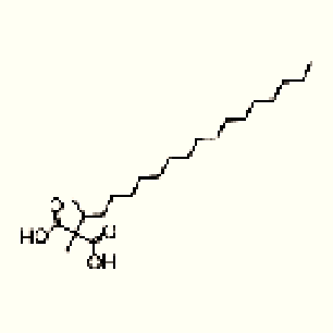 CCCCCCCCCCCCCCCCC(C)C(C)(C(=O)O)C(=O)O